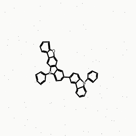 c1ccc(-n2c3ccccc3c3cc(-c4ccc5c(c4)c4cc6oc7ccccc7c6cc4n5-c4ccccc4)ccc32)cc1